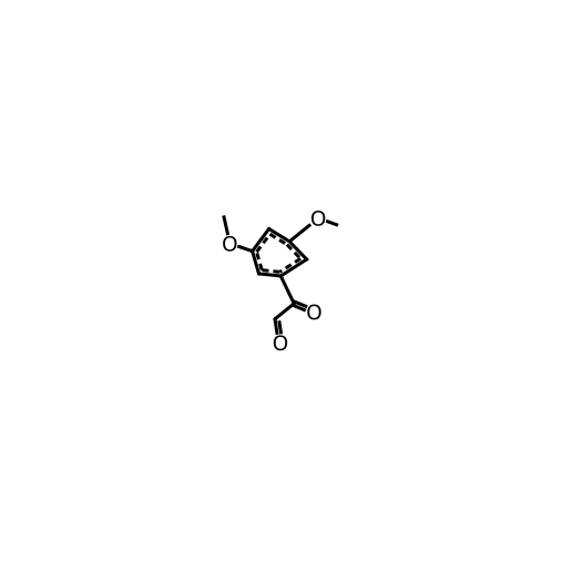 COc1cc(OC)cc(C(=O)C=O)c1